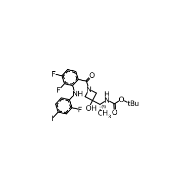 C[C@@H](NC(=O)OC(C)(C)C)C1(O)CN(C(=O)c2ccc(F)c(F)c2Nc2ccc(I)cc2F)C1